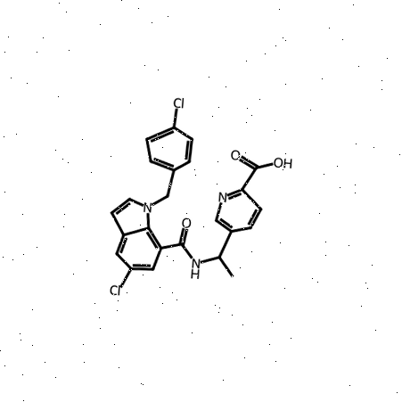 CC(NC(=O)c1cc(Cl)cc2ccn(Cc3ccc(Cl)cc3)c12)c1ccc(C(=O)O)nc1